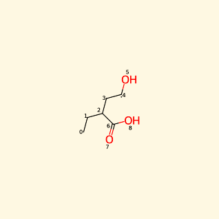 CCC(C[CH]O)C(=O)O